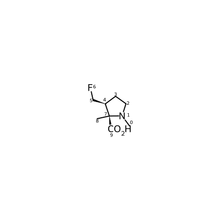 CN1CC[C@H](CF)[C@]1(C)C(=O)O